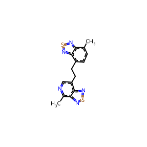 Cc1ccc(CCc2cnc(C)c3nsnc23)c2nsnc12